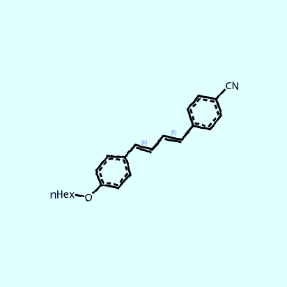 CCCCCCOc1ccc(/C=C/C=C/c2ccc(C#N)cc2)cc1